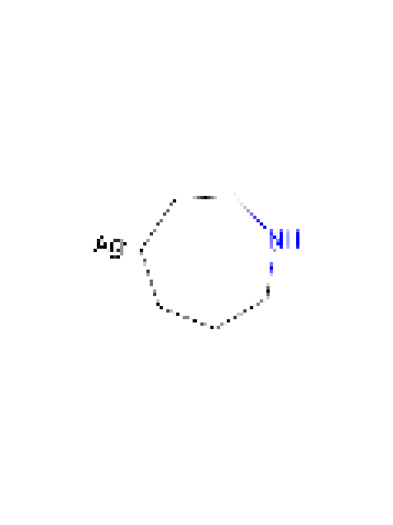 C1CCCNCC1.[Ag]